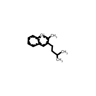 Cc1[o+]c2ccccc2cc1CCC(C)C